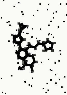 CC(=O)N1c2ccc(-c3cnn(C4CC4)c3)c(OCCN3CCCS3)c2CCC1C